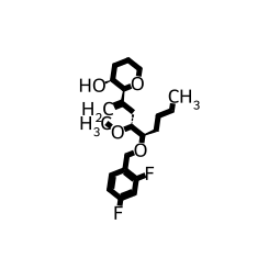 C=C(C[C@@H](OC)[C@@H](CCCC)OCc1ccc(F)cc1F)[C@@H]1OCCC[C@H]1O